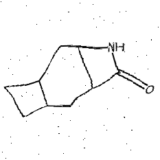 O=C1NC2CC3CCC3CC12